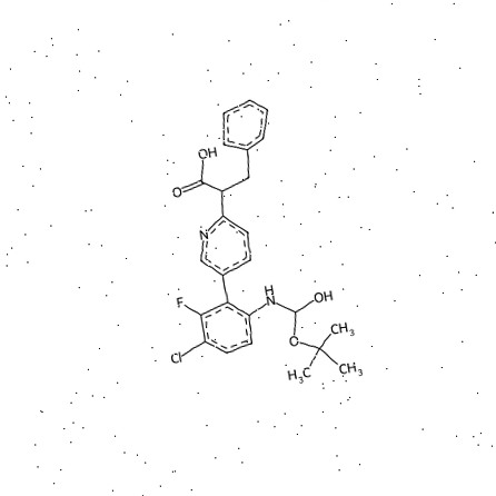 CC(C)(C)OC(O)Nc1ccc(Cl)c(F)c1-c1ccc(C(Cc2ccccc2)C(=O)O)nc1